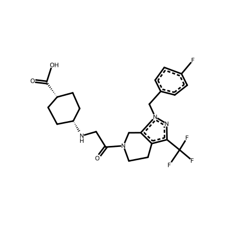 O=C(CN[C@H]1CC[C@@H](C(=O)O)CC1)N1CCc2c(C(F)(F)F)nn(Cc3ccc(F)cc3)c2C1